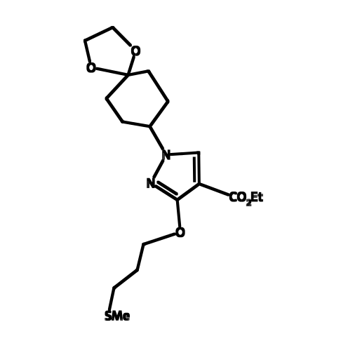 CCOC(=O)c1cn(C2CCC3(CC2)OCCO3)nc1OCCCSC